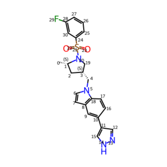 C[C@H]1C[C@@H](Cn2ccc3cc(-c4cn[nH]c4)ccc32)CN1S(=O)(=O)c1cccc(F)c1